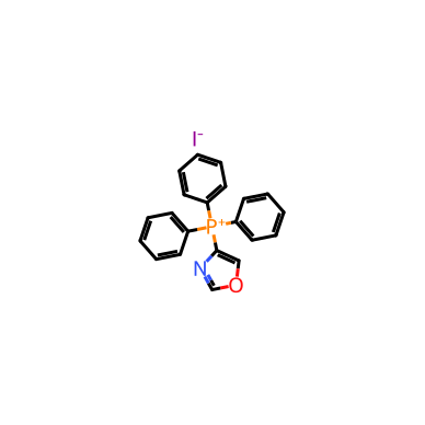 [I-].c1ccc([P+](c2ccccc2)(c2ccccc2)c2cocn2)cc1